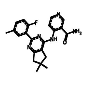 Cc1ccc(F)c(-c2nc3c(c(Nc4ccncc4C(N)=O)n2)CC(C)(C)C3)c1